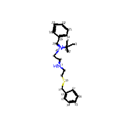 CC(C)(C)N(CCNCCSCc1ccccc1)Cc1ccccc1